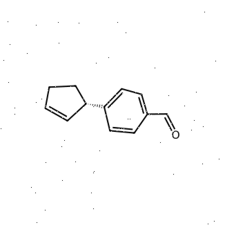 O=Cc1ccc([C@@H]2C=CCC2)cc1